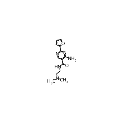 CN(C)CCNC(=O)c1cnc(-c2ccco2)nc1N